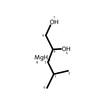 CC(C)CC(O)CO.[MgH2]